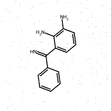 N=C(c1ccccc1)c1cccc(N)c1N